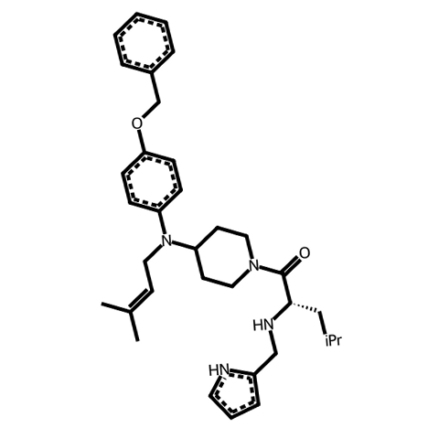 CC(C)=CCN(c1ccc(OCc2ccccc2)cc1)C1CCN(C(=O)[C@H](CC(C)C)NCc2ccc[nH]2)CC1